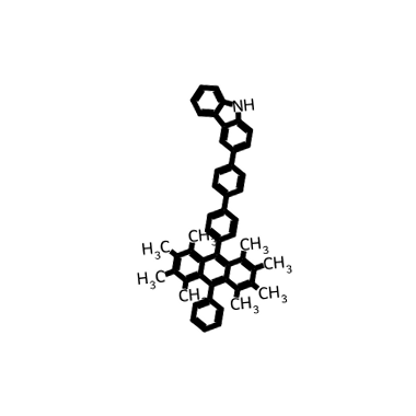 Cc1c(C)c(C)c2c(-c3ccc(-c4ccc(-c5ccc6[nH]c7ccccc7c6c5)cc4)cc3)c3c(C)c(C)c(C)c(C)c3c(-c3ccccc3)c2c1C